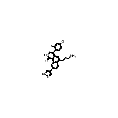 NCCCc1cc2c(-c3ccc(Cl)cc3Cl)c[nH]c(=O)c2c2cc(-c3cn[nH]c3)ccc12